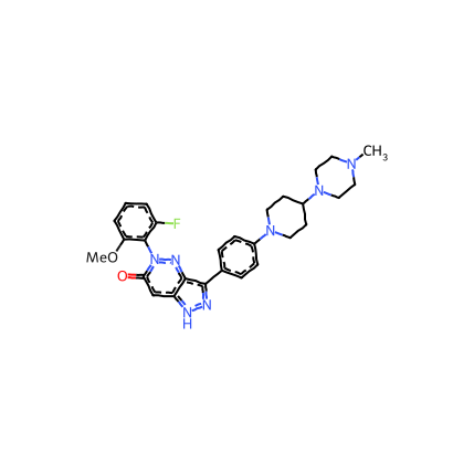 COc1cccc(F)c1-n1nc2c(-c3ccc(N4CCC(N5CCN(C)CC5)CC4)cc3)n[nH]c2cc1=O